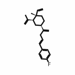 C=C[C@]1(C)CC[C@@H](C(=C)C/C=C/c2ccc(F)cc2)C[C@H]1C(=C)C